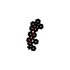 CC1(C)c2ccccc2-c2c(-c3ccccc3N(c3ccc(-c4ccc5c(c4)-c4ccccc4C5(c4ccccc4)c4ccccc4)cc3)c3ccccc3-c3ccc(-c4ccccc4)cc3)cccc21